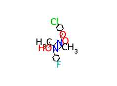 CC(O)C1CN(C(=O)COc2ccc(Cl)cc2)C(C)CN1Cc1ccc(F)cc1